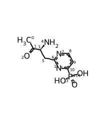 CC(=O)[C@@H](N)Cc1nccc(P(=O)(O)O)n1